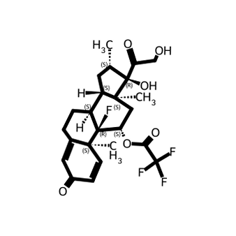 C[C@H]1C[C@H]2[C@@H]3CCC4=CC(=O)C=C[C@]4(C)[C@@]3(F)[C@@H](OC(=O)C(F)(F)F)C[C@]2(C)[C@@]1(O)C(=O)CO